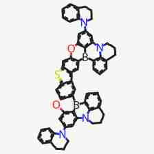 c1ccc2c(c1)CCCN2c1cc2c3c(c1)N1CCCc4cccc(c41)B3c1cc3c(cc1O2)sc1cc2c(cc13)B1c3cccc4c3N(CCC4)c3cc(N4CCCc5ccccc54)cc(c31)O2